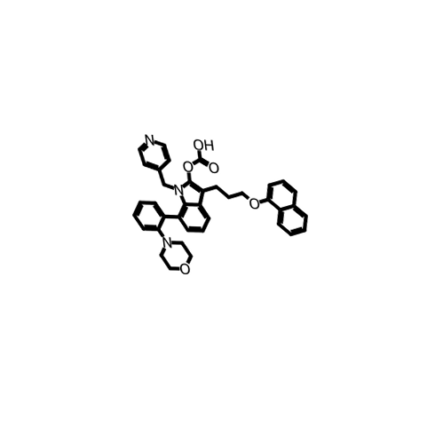 O=C(O)Oc1c(CCCOc2cccc3ccccc23)c2cccc(-c3ccccc3N3CCOCC3)c2n1Cc1ccncc1